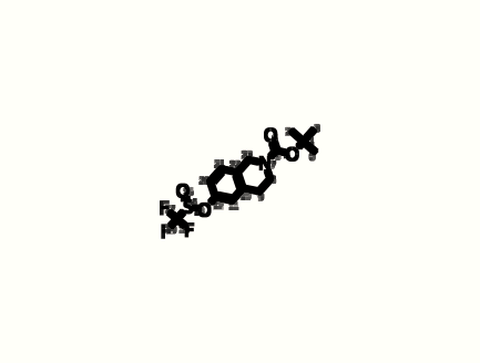 CC(C)(C)OC(=O)N1CCc2cc(OS(=O)C(F)(F)F)ccc2C1